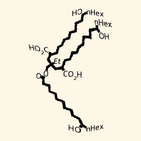 CCCCCCC(O)CCCCCCCCCCC(=O)OCC(CC)(CC(CCCCCCCCCC(O)CCCCCC)C(=O)O)CC(CCCCCCCCCC(O)CCCCCC)C(=O)O